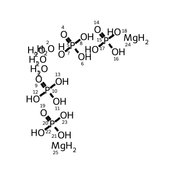 O.O.O.O.O=P(O)(O)O.O=P(O)(O)O.O=P(O)(O)O.O=P(O)(O)O.[MgH2].[MgH2]